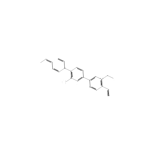 C=Cc1ccc(-c2ccc(C(C=C)/C=C\C=C/C)c(Cl)c2)cc1CC